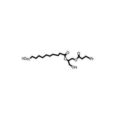 CCCCCCCCCCCCCCCCCCCC(=O)OC(CO)COC(=O)CCC(C)C